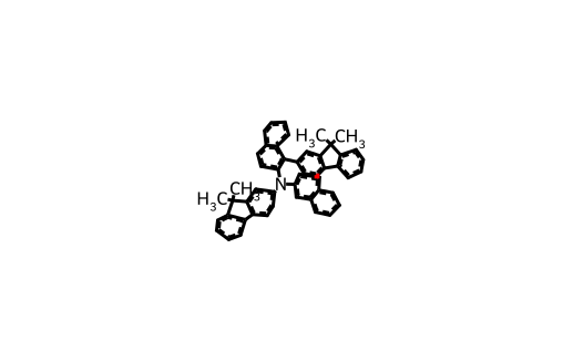 CC1(C)c2ccccc2-c2ccc(-c3c(N(c4ccc5c(c4)C(C)(C)c4ccccc4-5)c4ccc5ccccc5c4)ccc4ccccc34)cc21